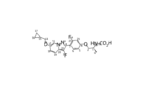 C[C@@H](COc1ccc(-c2nn3cc(OCC4CC4)ccc3c2F)c(F)c1)NC(=O)O